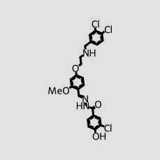 COc1cc(OCCNCc2ccc(Cl)c(Cl)c2)ccc1/C=N/NC(=O)c1ccc(O)c(Cl)c1